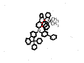 C[Si]1(C)c2ccccc2C2(c3ccccc3-c3ccc(N(c4ccc5c(c4)C(c4ccccc4)(c4ccccc4)c4ccccc4-5)c4ccc(-c5ccccc5)cc4-c4ccccc4)cc32)c2ccccc21